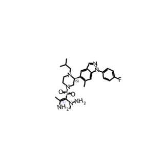 C/C(N)=C(/N(C)N)S(=O)(=O)N1CCN(CC(C)C)[C@@H](c2cc3cnn(-c4ccc(F)cc4)c3cc2C)C1